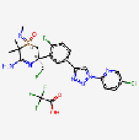 CN=[S@@]1(=O)C[C@@](CF)(c2cc(-c3cn(-c4ccc(Cl)cn4)nn3)ccc2F)N=C(N)C1(C)C.O=C(O)C(F)(F)F